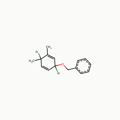 CC1=CC(Br)(OCc2ccccc2)C=CC1(C)Br